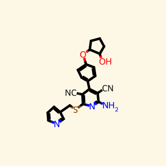 N#Cc1c(N)nc(SCc2cccnc2)c(C#N)c1-c1ccc(OC2CCCC2O)cc1